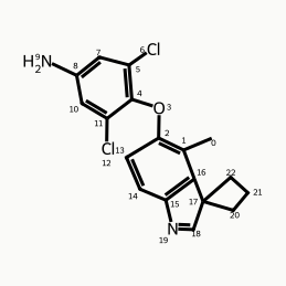 Cc1c(Oc2c(Cl)cc(N)cc2Cl)ccc2c1C1(C=N2)CCC1